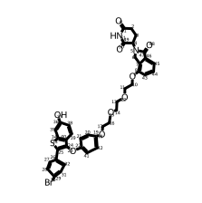 O=C1CCC(N2Cc3c(OCCOCCOCCOc4ccc(Oc5c(-c6ccc(Br)cc6)sc6cc(O)ccc56)cc4)cccc3C2=O)C(=O)N1